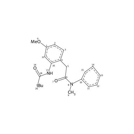 COc1ccc(CC(=O)N(C)c2ccccc2)c(NC(=O)C(C)(C)C)c1